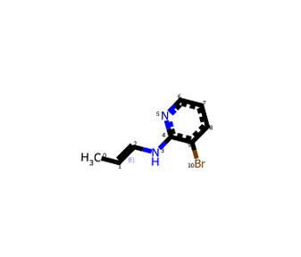 C/C=C/Nc1ncccc1Br